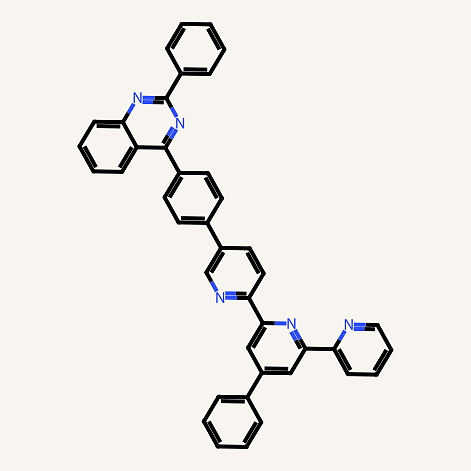 c1ccc(-c2cc(-c3ccccn3)nc(-c3ccc(-c4ccc(-c5nc(-c6ccccc6)nc6ccccc56)cc4)cn3)c2)cc1